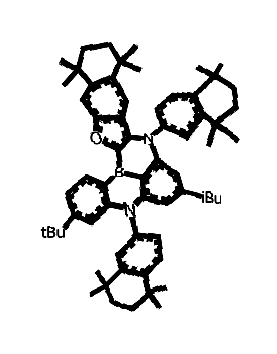 CCC(C)c1cc2c3c(c1)N(c1ccc4c(c1)C(C)(C)CCC4(C)C)c1c(oc4cc5c(cc14)C(C)(C)CCC5(C)C)B3c1ccc(C(C)(C)C)cc1N2c1ccc2c(c1)C(C)(C)CCC2(C)C